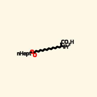 CCCCCCCOC(=O)CCCCCCCCCCCCC(CC(=O)O)C(C)C